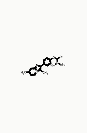 CCCCN(CCCC)C(CC)Oc1ccc(-c2nc3cc(C)ccn3c2C)cc1